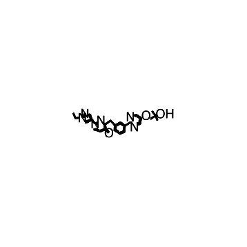 CCn1cc(-n2ccc(=O)c(Cc3cccc(-c4ncc(OCC(C)(C)O)cn4)c3)n2)cn1